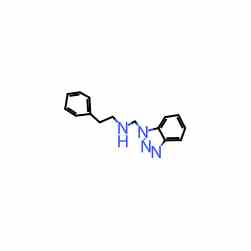 c1ccc(CCNCn2nnc3ccccc32)cc1